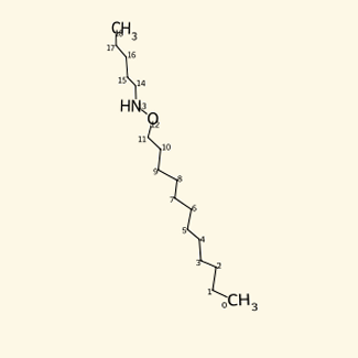 CCCCCCCCCCCCONCCCCC